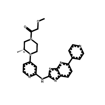 COCC(=O)N1CCN(c2ccnc(Nc3nc4ccc(-c5ccncc5)nc4s3)c2)[C@H](C)C1